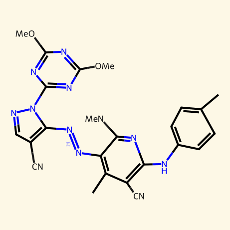 CNc1nc(Nc2ccc(C)cc2)c(C#N)c(C)c1/N=N/c1c(C#N)cnn1-c1nc(OC)nc(OC)n1